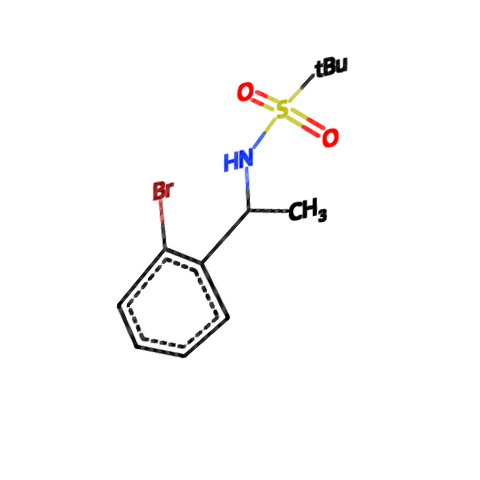 CC(NS(=O)(=O)C(C)(C)C)c1ccccc1Br